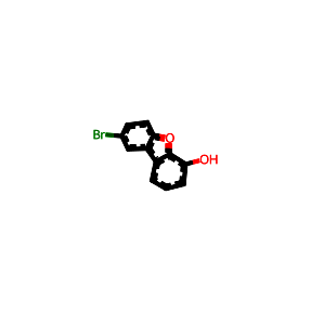 Oc1cccc2c1oc1ccc(Br)cc12